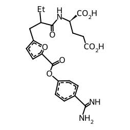 CCC(Cc1ccc(C(=O)Oc2ccc(C(=N)N)cc2)o1)C(=O)N[C@H](CCC(=O)O)C(=O)O